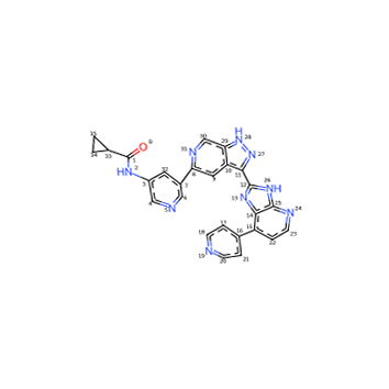 O=C(Nc1cncc(-c2cc3c(-c4nc5c(-c6ccncc6)ccnc5[nH]4)n[nH]c3cn2)c1)C1CC1